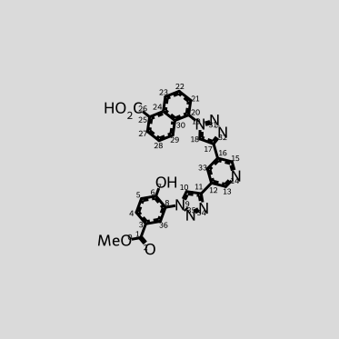 COC(=O)c1ccc(O)c(-n2cc(-c3cncc(-c4cn(-c5cccc6c(C(=O)O)cccc56)nn4)c3)nn2)c1